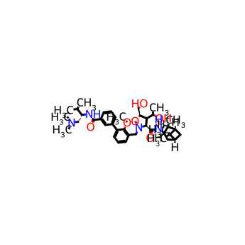 COc1c(CN2O[C@@H](CO)C(C(C)O)[C@H]2C(=O)N[C@H]2C[C@H]3C[C@@H]([C@@H]2C)C3(C)C)cccc1-c1cccc(C(=O)N[C@H](CN(C)C)C(C)C)c1